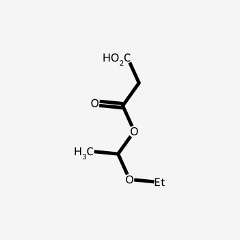 CCOC(C)OC(=O)CC(=O)O